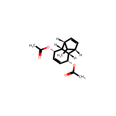 CC(=O)O[C@H]1C=C[C@@H](OC(C)=O)[C@@H]2[C@H]1[C@@H]1C=C[C@H]2C1C